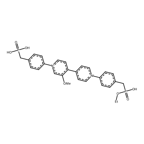 CCOP(=O)(O)Cc1ccc(-[n+]2ccc(-c3cc[n+](-c4ccc(CP(=O)(O)O)cc4)cc3OC)cc2)cc1